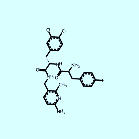 Cc1nc(N)ccc1CNC(=O)[C@H](Cc1ccc(Cl)c(Cl)c1)NC(=O)C(N)Cc1ccc(F)cc1